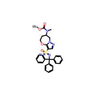 CN(C(=O)OC(C)(C)C)C1CCOc2c(S(N)(=O)=NC(c3ccccc3)(c3ccccc3)c3ccccc3)cnn2C1